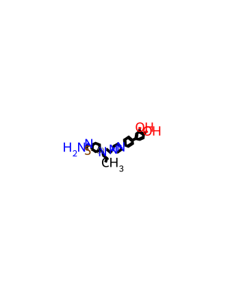 CCCN(CCN1CCN(c2ccc(-c3ccc(O)c(O)c3)cc2)CC1)[C@H]1CCc2nc(N)sc2C1